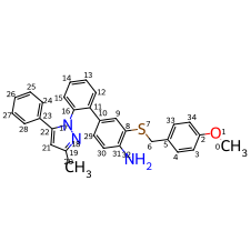 COc1ccc(CSc2cc(-c3ccccc3-n3nc(C)cc3-c3ccccc3)ccc2N)cc1